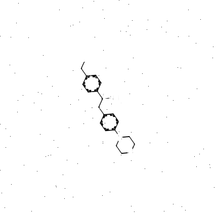 N[C@H](c1ccc(CI)cc1)[C@@H](O)c1ccc(N2CCOCC2)cc1